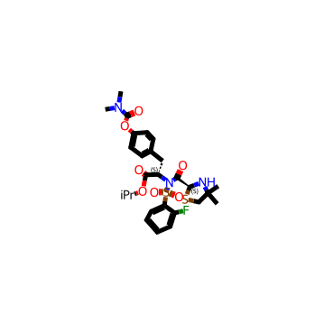 CC(C)OC(=O)[C@H](Cc1ccc(OC(=O)N(C)C)cc1)N(C(=O)[C@H]1NC(C)(C)CS1)S(=O)(=O)c1ccccc1F